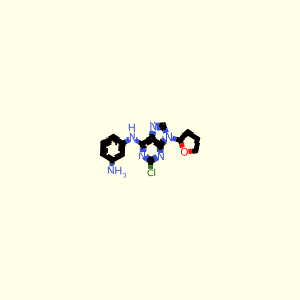 Nc1cccc(Nc2nc(Cl)nc3c2ncn3C2CCCO2)c1